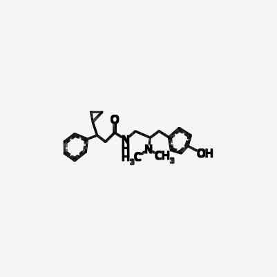 CN(C)C(CNC(=O)CC(c1ccccc1)C1CC1)Cc1ccc(O)cc1